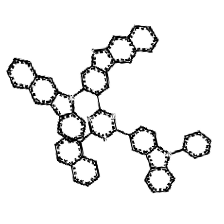 c1ccc(-n2c3ccccc3c3cc(-c4nc(-c5cc6c(cc5-n5c7ccccc7c7cc8ccccc8cc75)sc5cc7ccccc7cc56)nc(-c5cccc6ccccc56)n4)ccc32)cc1